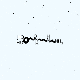 NCCCNCCCCNC(=O)CCc1ccc(O)c(O)c1